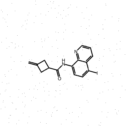 C=C1CC(C(=O)Nc2ccc(I)c3cccnc23)C1